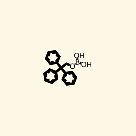 OB(O)OCC(c1ccccc1)(c1ccccc1)c1ccccc1